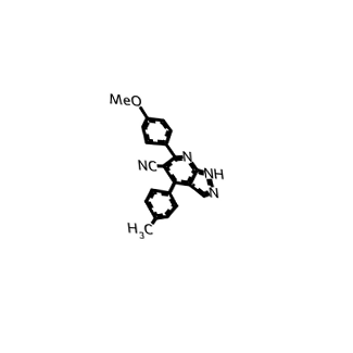 COc1ccc(-c2nc3[nH]ncc3c(-c3ccc(C)cc3)c2C#N)cc1